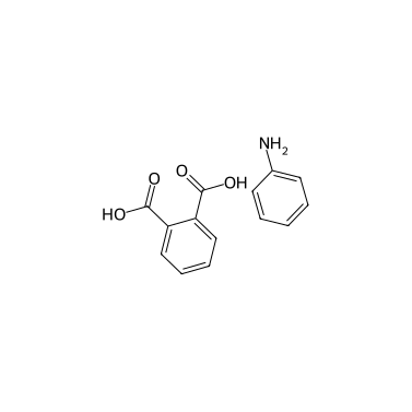 Nc1ccccc1.O=C(O)c1ccccc1C(=O)O